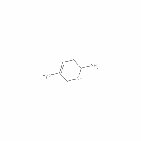 CC1=CCC(N)NC1